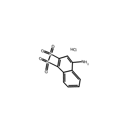 Cl.Nc1cc2c(c3ccccc13)S(=O)(=O)S2(=O)=O